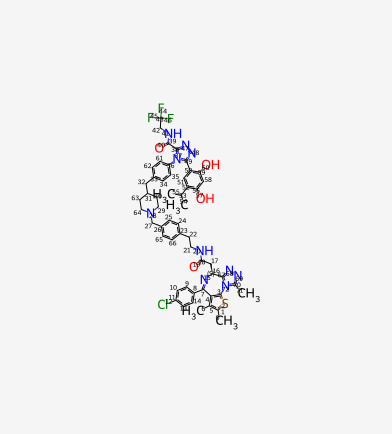 Cc1sc2c(c1C)C(c1ccc(Cl)cc1)=N[C@@H](CC(=O)NCCc1ccc(CN3CCC(Cc4ccc(-n5c(C(=O)NCC(F)(F)F)nnc5-c5cc(C(C)C)c(O)cc5O)cc4)CC3)cc1)c1nnc(C)n1-2